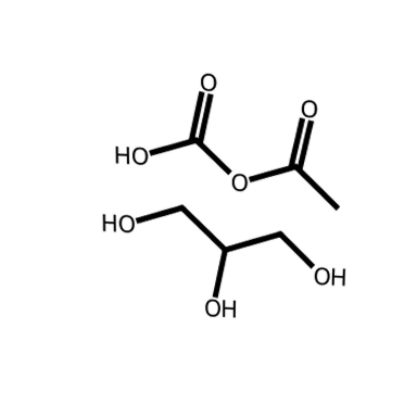 CC(=O)OC(=O)O.OCC(O)CO